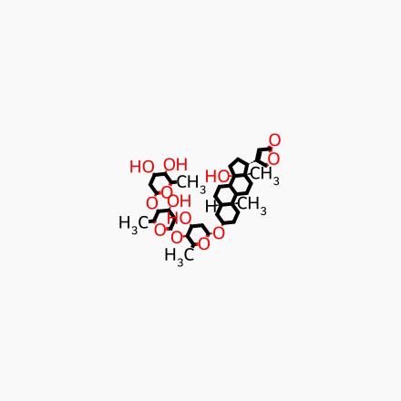 CC1O[C@@H](O[C@@H]2C(C)O[C@@H](O[C@@H]3C(C)O[C@@H](O[C@H]4CC[C@]5(C)C6CC[C@]7(C)[C@@H](C8=CC(=O)OC8)CC[C@]7(O)C6CC[C@@H]5C4)C[C@H]3O)C[C@H]2O)C[C@@H](O)[C@@H]1O